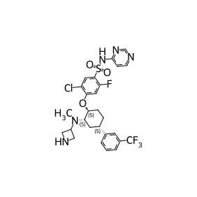 CN(C1CNC1)[C@H]1C[C@@H](c2cccc(C(F)(F)F)c2)CC[C@@H]1Oc1cc(F)c(S(=O)(=O)Nc2ccncn2)cc1Cl